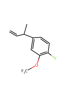 C=C[C](C)c1ccc(F)c(OC(F)(F)F)c1